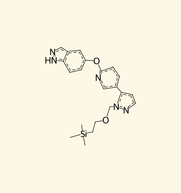 C[Si](C)(C)CCOCn1nccc1-c1ccc(Oc2ccc3[nH]ncc3c2)nc1